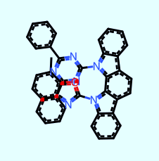 Cc1cccc2nc(-n3c4ccccc4c4ccc5c6ccccc6n(-c6nc(-c7ccccc7)nc(-c7ccccc7)n6)c5c43)oc12